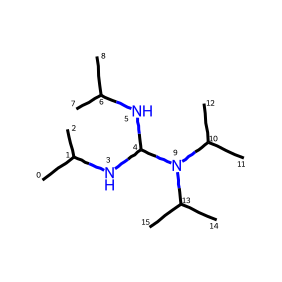 CC(C)NC(NC(C)C)N(C(C)C)C(C)C